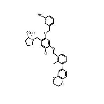 Cc1c(COc2cc(OCc3cccc(C#N)c3)c(CN3CCC[C@@H]3C(=O)O)cc2Cl)cccc1-c1ccc2c(c1)OCCO2